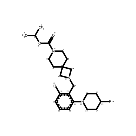 O=C(OC(C(F)(F)F)C(F)(F)F)N1CCC2(CC1)CN(Cc1c(Cl)cccc1N1CCC(F)CC1)C2